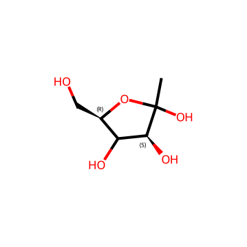 CC1(O)O[C@H](CO)C(O)[C@@H]1O